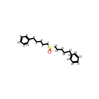 [O-][S+](CCCCCc1ccccc1)CCCCCc1ccccc1